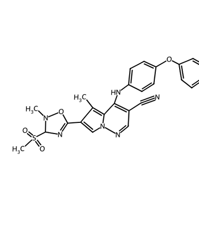 Cc1c(C2=NC(S(C)(=O)=O)N(C)O2)cn2ncc(C#N)c(Nc3ccc(Oc4ccccc4)cc3)c12